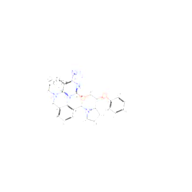 CCOC(=O)CN(Cc1cccc(CN2CCCC2)c1)c1nc(OCCOc2ccccc2)nc(N)c1[N+](=O)[O-]